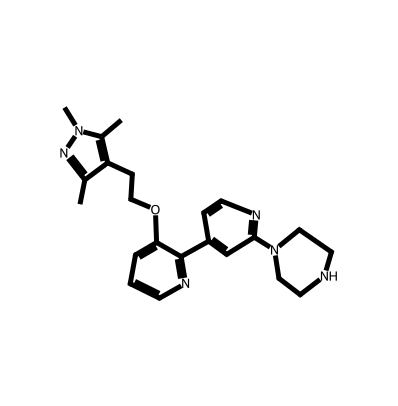 Cc1nn(C)c(C)c1CCOc1cccnc1-c1ccnc(N2CCNCC2)c1